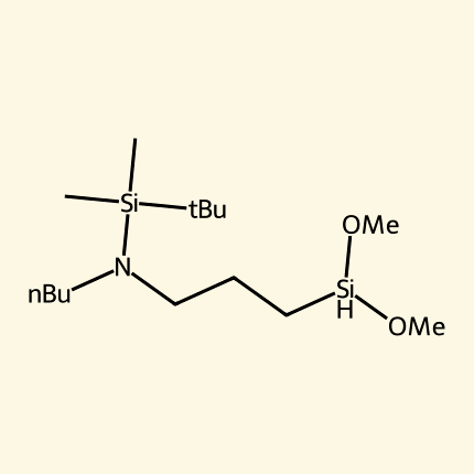 CCCCN(CCC[SiH](OC)OC)[Si](C)(C)C(C)(C)C